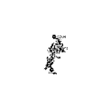 CC[C@H](C)[C@@H]([C@@H](CC(=O)N1CCC[C@H]1[C@H](OC)[C@@H](C)C(=O)N[C@H](CN=[N+]=[N-])Cc1ccc(NC(C)C)cc1)OC)N(C)C(=O)[C@@H](NC(=O)[C@H](C(C)CCC(C)N(C)[C@H](C(=O)N[C@H](C(=O)N(C)[C@@H]([C@@H](C)CC)[C@@H](CC(=O)N1CCC[C@H]1[C@H](OC)[C@@H](C)C(=O)N[C@@H](Cc1ccccc1)C(=O)O)OC)C(C)C)C(C)C)N(C)C)C(C)C